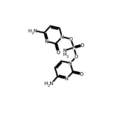 Nc1ccn(OP(N)(=O)On2ccc(N)nc2=O)c(=O)n1